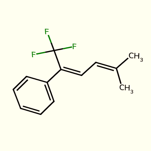 CC(C)=CC=C(c1ccccc1)C(F)(F)F